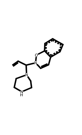 C=CC(N1CCNCC1)N1C=Cc2ccccc2O1